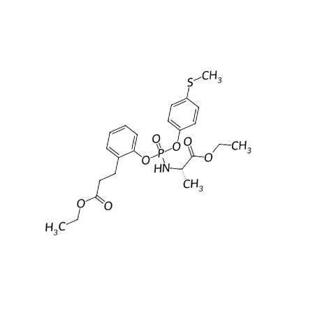 CCOC(=O)CCc1ccccc1OP(=O)(N[C@@H](C)C(=O)OCC)Oc1ccc(SC)cc1